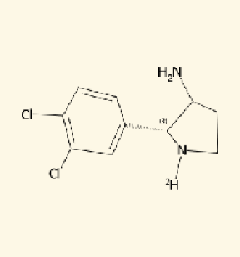 [2H]N1CCC(N)[C@H]1c1ccc(Cl)c(Cl)c1